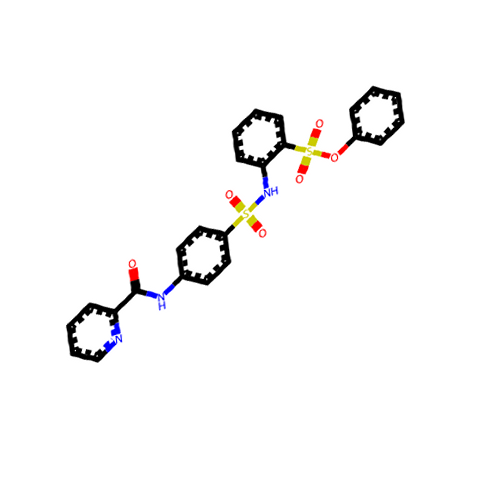 O=C(Nc1ccc(S(=O)(=O)Nc2ccccc2S(=O)(=O)Oc2ccccc2)cc1)c1ccccn1